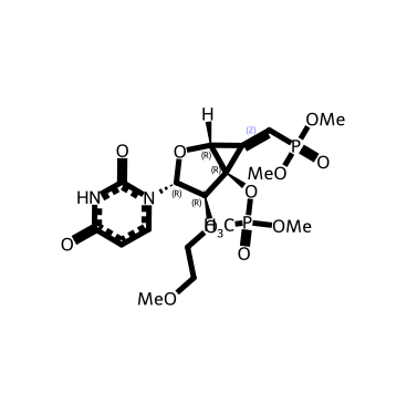 COCCO[C@H]1[C@H](n2ccc(=O)[nH]c2=O)O[C@@H]2/C(=C/P(=O)(OC)OC)[C@@]21OP(C)(=O)OC